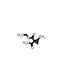 CCOC(=O)C1(C(C)=O)CC1C